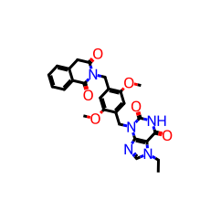 CCn1cnc2c1c(=O)[nH]c(=O)n2Cc1cc(OC)c(CN2C(=O)Cc3ccccc3C2=O)cc1OC